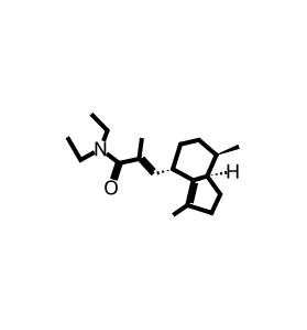 CCN(CC)C(=O)/C(C)=C/[C@@H]1CC[C@@H](C)[C@H]2CCC(C)=C12